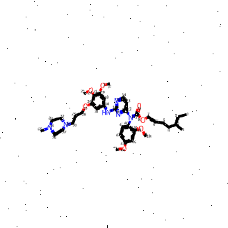 CCC(C)CCCCOC(=O)N(c1ccnc(Nc2cc(OC)c(OC)c(OCCCN3CCN(C)CC3)c2)n1)c1ccc(OC)cc1OC